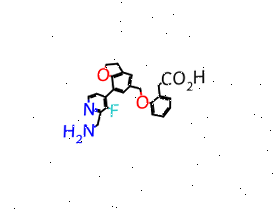 NCc1nccc(-c2cc(COc3ccccc3CC(=O)O)cc3c2OCC3)c1F